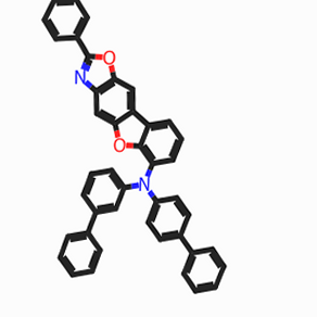 c1ccc(-c2ccc(N(c3cccc(-c4ccccc4)c3)c3cccc4c3oc3cc5nc(-c6ccccc6)oc5cc34)cc2)cc1